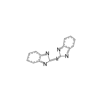 c1ccc2c(c1)=N[C](=[Ir]=[C]1N=c3ccccc3=N1)N=2